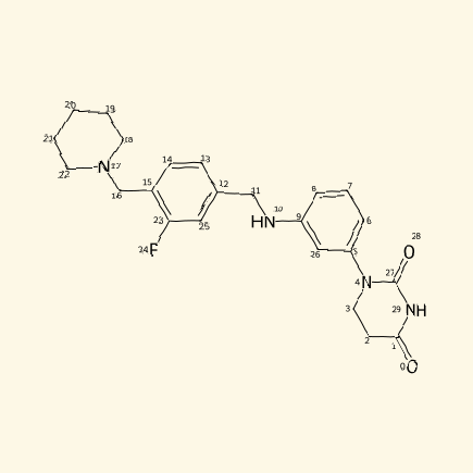 O=C1CCN(c2cccc(NCc3ccc(CN4CCCCC4)c(F)c3)c2)C(=O)N1